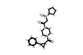 O=C(C[S+]([O-])C1CCCC1)N1CCN(C(=O)C2CC2c2ccccc2)CC1